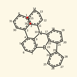 c1ccc(-c2cccc3c2N(c2ccccc2)c2cccc4c2B3c2ccccc2-4)cc1